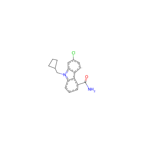 NC(=O)c1cccc2c1c1[c]cc(Cl)cc1n2CC1CCC1